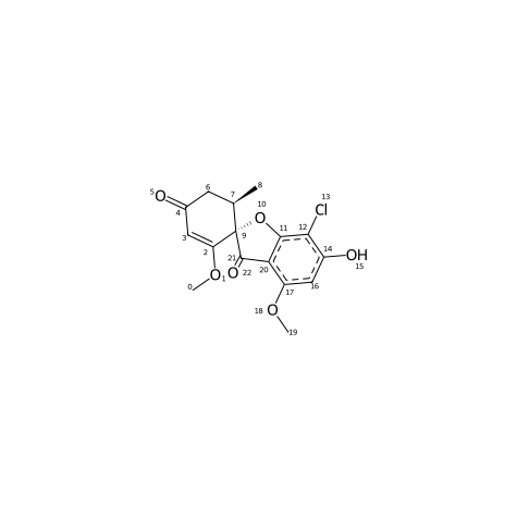 COC1=CC(=O)C[C@@H](C)[C@]12Oc1c(Cl)c(O)cc(OC)c1C2=O